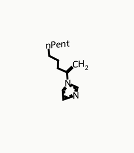 C=C(CCCCCCCC)n1ccnc1